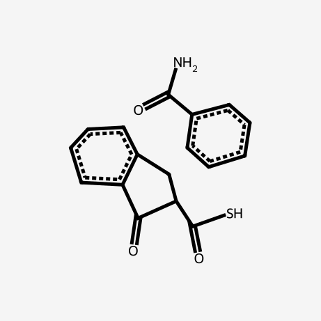 NC(=O)c1ccccc1.O=C(S)C1Cc2ccccc2C1=O